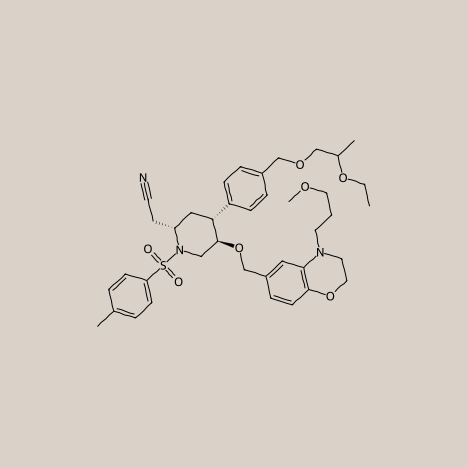 CCOC(C)COCc1ccc([C@H]2C[C@@H](CC#N)N(S(=O)(=O)c3ccc(C)cc3)C[C@@H]2OCc2ccc3c(c2)N(CCCOC)CCO3)cc1